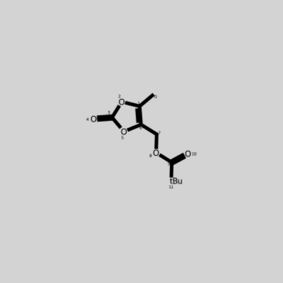 Cc1oc(=O)oc1COC(=O)C(C)(C)C